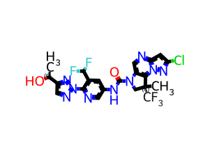 C[C@H](O)c1cnn(-c2ncc(NC(=O)N3C[C@@](C)(C(F)(F)F)c4c3cnc3cc(Cl)nn43)cc2C(F)F)n1